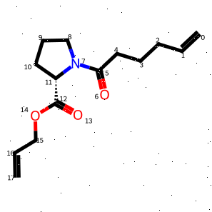 C=CCCCC(=O)N1CCC[C@H]1C(=O)OCC=C